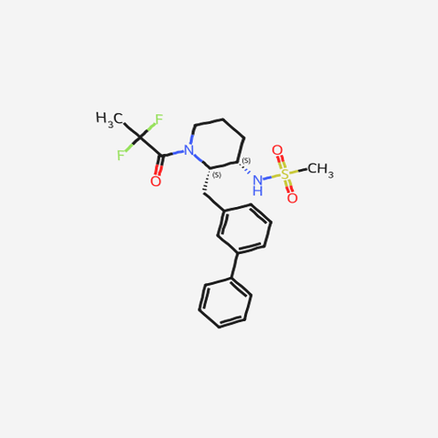 CC(F)(F)C(=O)N1CCC[C@H](NS(C)(=O)=O)[C@@H]1Cc1cccc(-c2ccccc2)c1